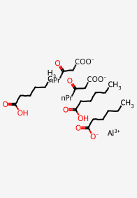 CCCC(=O)CC(=O)[O-].CCCC(=O)CC(=O)[O-].CCCCCC(=O)O.CCCCCC(=O)O.CCCCCC(=O)[O-].[Al+3]